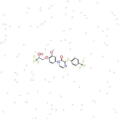 COc1cc(-n2ccnc(Sc3ccc(C(F)(F)F)cc3)c2=O)ccc1OCC(O)C(F)(F)F